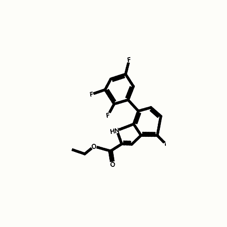 CCOC(=O)c1cc2c(I)ccc(-c3cc(F)cc(F)c3F)c2[nH]1